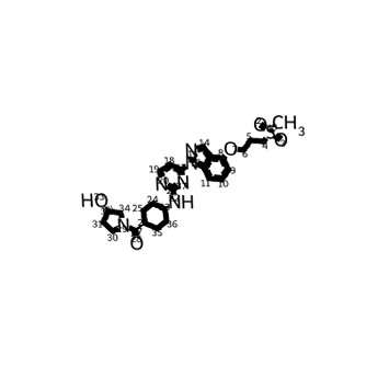 CS(=O)(=O)CCCOc1cccc2c1cnn2-c1ccnc(N[C@H]2CC[C@H](C(=O)N3CC[C@H](O)C3)CC2)n1